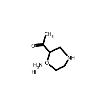 CC(=O)C1CNCCO1.I.N